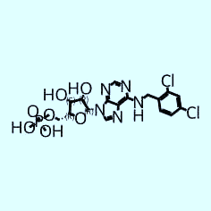 O=P(O)(O)OC[C@H]1O[C@@H](n2cnc3c(NCc4ccc(Cl)cc4Cl)ncnc32)[C@H](O)[C@@H]1O